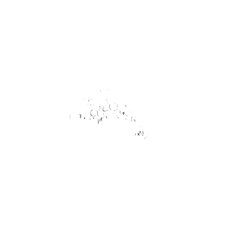 CCCOc1ccc(S(=O)(=O)N2CCN(CCO[N+](=O)[O-])CC2)cc1-c1nc2c(CCC)c(C=NO)n(C)c2c(=O)[nH]1